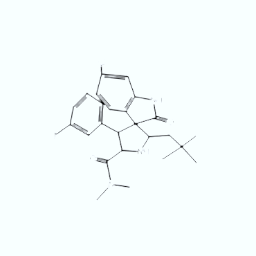 CN(C)C(=O)C1NC(CC(C)(C)C)C2(C(=O)Nc3cc(Cl)ccc32)C1c1cccc(I)c1